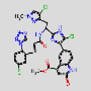 COC(=O)c1cc(=O)[nH]c2ccc(-c3nc([C@H](Cc4nn(C)cc4Cl)NC(=O)C=Cc4cc(Cl)ccc4-n4cnnn4)[nH]c3Cl)cc12